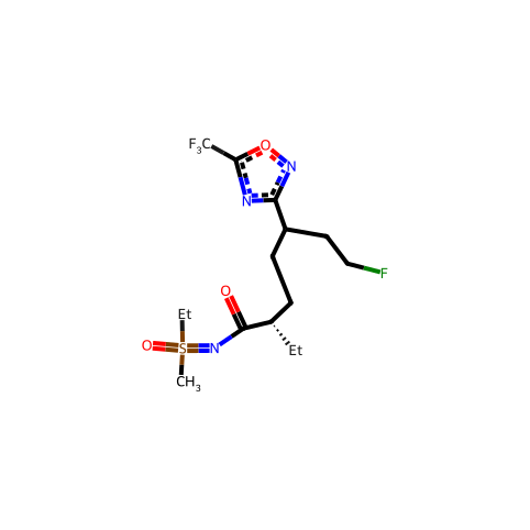 CC[C@@H](CCC(CCF)c1noc(C(F)(F)F)n1)C(=O)N=S(C)(=O)CC